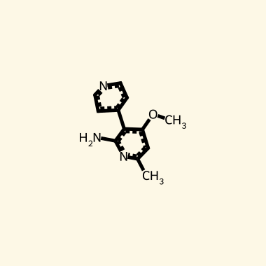 COc1cc(C)nc(N)c1-c1ccncc1